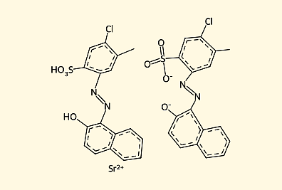 Cc1cc(N=Nc2c(O)ccc3ccccc23)c(S(=O)(=O)O)cc1Cl.Cc1cc(N=Nc2c([O-])ccc3ccccc23)c(S(=O)(=O)[O-])cc1Cl.[Sr+2]